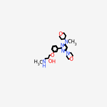 CNCC(O)COc1cccc(-c2nc(N3CCOCC3)cc(N(C)C3CCOCC3)n2)c1